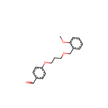 COc1ccccc1COCCCOc1ccc(C=O)cc1